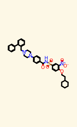 O=C(NS(=O)(=O)c1ccc(OCCC2CCCCC2)c([N+](=O)[O-])c1)c1ccc(N2CCN(Cc3ccccc3-c3ccccc3)CC2)cc1